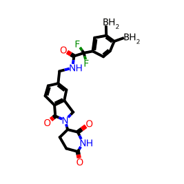 Bc1ccc(C(F)(F)C(=O)NCc2ccc3c(c2)CN(C2CCC(=O)NC2=O)C3=O)cc1B